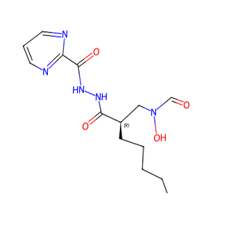 CCCCC[C@H](CN(O)C=O)C(=O)NNC(=O)c1ncccn1